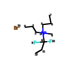 CCC[N+](C)(CCC)C(F)(F)CC.[Br-]